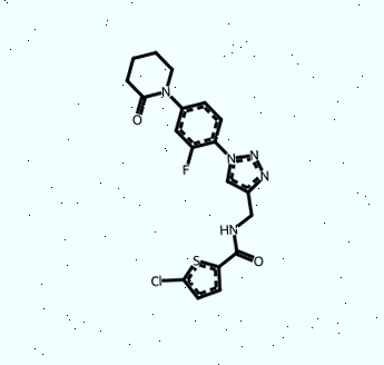 O=C(NCc1cn(-c2ccc(N3CCCCC3=O)cc2F)nn1)c1ccc(Cl)s1